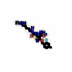 Cc1ccc(COc2nsc(NC(=O)NCCCCCNC(C)C)c2C(N)=O)c(F)c1